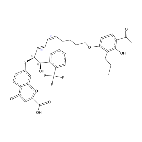 CCCc1c(OCCCC/C=C\C=C\[C@H](Sc2ccc3c(=O)cc(C(=O)O)oc3c2)[C@H](O)c2ccccc2C(F)(F)F)ccc(C(C)=O)c1O